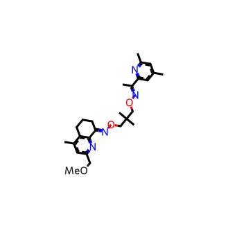 COCc1cc(C)c2c(n1)/C(=N/OCC(C)(C)CO/N=C(\C)c1cc(C)cc(C)n1)CCC2